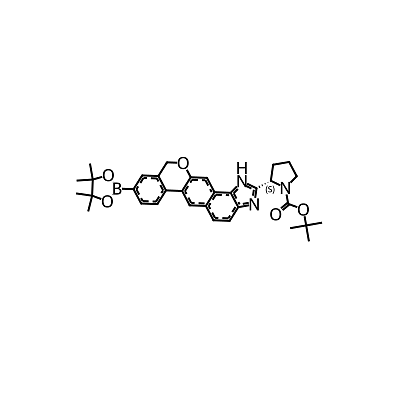 CC(C)(C)OC(=O)N1CCC[C@H]1c1nc2ccc3cc4c(cc3c2[nH]1)OCc1cc(B2OC(C)(C)C(C)(C)O2)ccc1-4